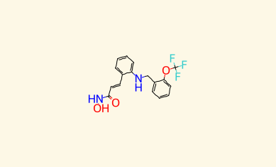 O=C(/C=C/c1ccccc1NCc1ccccc1OC(F)(F)F)NO